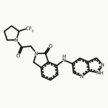 O=C1c2c(cccc2Nc2cnc3[nH]ncc3c2)CN1CC(=O)N1CCCC1C(F)(F)F